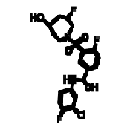 O=S(=O)(c1cc(C(O)Nc2ccc(F)c(Cl)c2)ccc1F)N1CCC(O)CC(F)C1